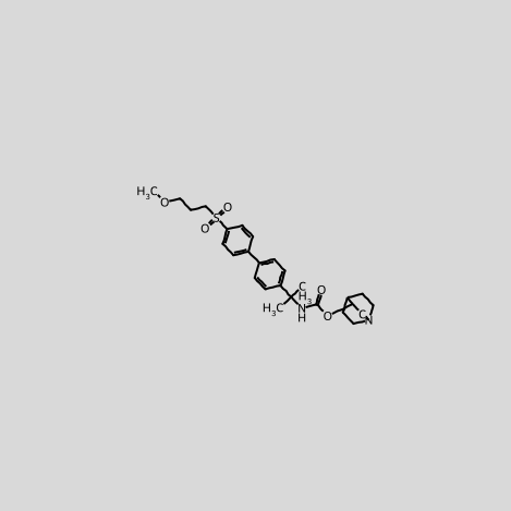 COCCCS(=O)(=O)c1ccc(-c2ccc(C(C)(C)NC(=O)OC3CN4CCC3CC4)cc2)cc1